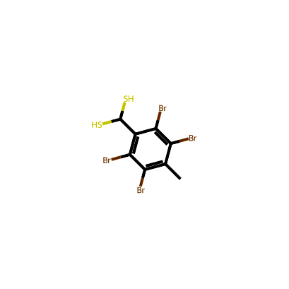 Cc1c(Br)c(Br)c(C(S)S)c(Br)c1Br